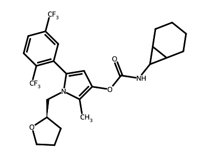 Cc1c(OC(=O)NC2C3CCCCC32)cc(-c2cc(C(F)(F)F)ccc2C(F)(F)F)n1C[C@H]1CCCO1